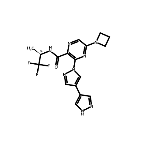 C[C@H](NC(=O)c1ncc(N2CCC2)nc1-n1cc(-c2cn[nH]c2)cn1)C(F)(F)F